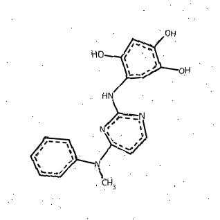 CN(c1ccccc1)c1ccnc(Nc2cc(O)c(O)cc2O)n1